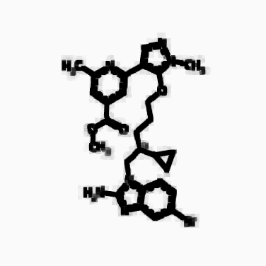 COC(=O)c1cc(C)nc(-c2cnn(C)c2OCCC[C@H](Cn2c(N)nc3cc(Br)ccc32)C2CC2)c1